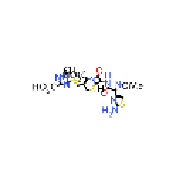 CON=C(C(=O)N[C@@H]1C(=O)N2C(C(=O)O)=C(CSc3nc(C(=O)O)nn3C)CS[C@H]12)c1csc(N)n1